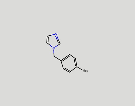 CC(C)(C)c1ccc(Cn2ccnc2)cc1